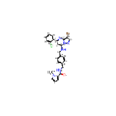 Cn1cccc1C(=O)NCc1ccc(CNc2cc(-c3ccccc3Cl)nc3c(Br)cnn23)cc1